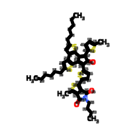 CCCCCCc1cc2c(s1)c1c(c3sc(CCCCCC)cc32)=C(c2ccc(-c3sc(C)c4c3C(=O)N(CCCC)C4=O)s2)C(=O)C=1c1ccc(C)s1